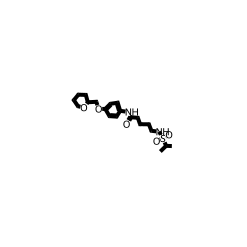 CC(C)S(=O)(=O)NCCCCC(=O)Nc1ccc(OCC2CCCCO2)cc1